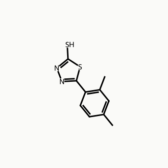 Cc1ccc(-c2nnc(S)s2)c(C)c1